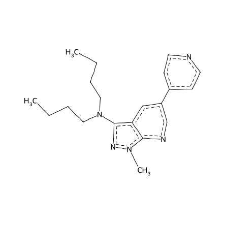 CCCCN(CCCC)c1nn(C)c2ncc(-c3ccncc3)cc12